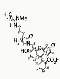 C/N=C(\NC)NCCC[C@@H](N)C(=O)NCc1c(O)ccc2c(-c3ccccc3C(=O)O)c3ccc(=O)cc-3oc12